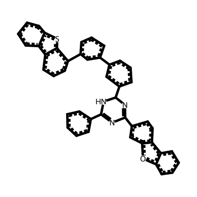 c1ccc(C2=NC(c3ccc4c(c3)oc3ccccc34)=NC(c3cccc(-c4cccc(-c5cccc6c5sc5ccccc56)c4)c3)N2)cc1